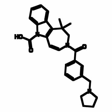 CC1(C)CN(C(=O)c2cccc(CN3CCCC3)c2)C=Cc2c1c1ccccc1n2C(=O)O